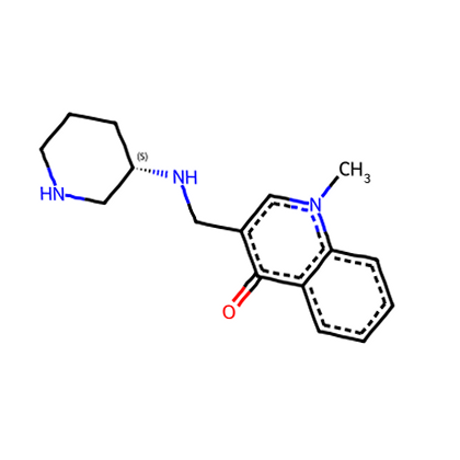 Cn1cc(CN[C@H]2CCCNC2)c(=O)c2ccccc21